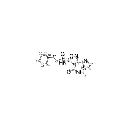 NC(=O)c1c(-c2nccs2)noc1NC(=O)CCc1ccccc1